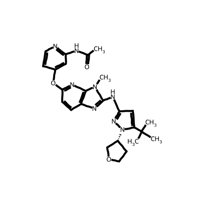 CC(=O)Nc1cc(Oc2ccc3nc(Nc4cc(C(C)(C)C)n([C@@H]5CCOC5)n4)n(C)c3n2)ccn1